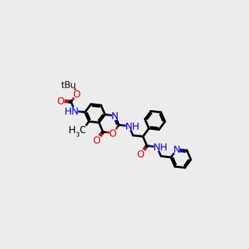 Cc1c(NC(=O)OC(C)(C)C)ccc2nc(NCC(C(=O)NCc3ccccn3)c3ccccc3)oc(=O)c12